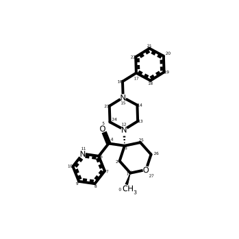 C[C@H]1C[C@](C(=O)c2ccccn2)(N2CCN(Cc3ccccc3)CC2)CCO1